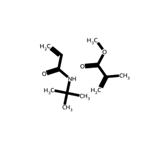 C=C(C)C(=O)OC.C=CC(=O)NC(C)(C)C